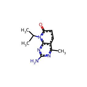 Cc1nc(N)nc2c1ccc(=O)n2C(C)C